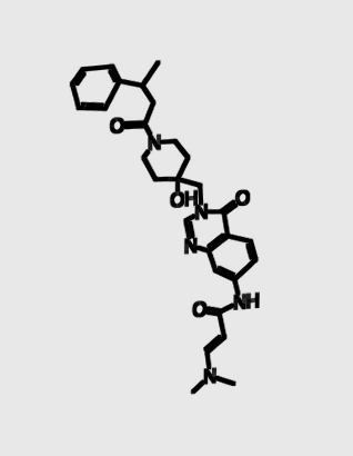 CC(CC(=O)N1CCC(O)(Cn2cnc3cc(NC(=O)C=CN(C)C)ccc3c2=O)CC1)c1ccccc1